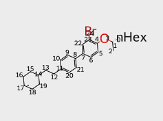 CCCCCC[C@H](C)Oc1ccc(-c2ccc(CCC3CC[CH]CC3)cc2)cc1Br